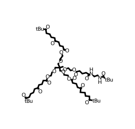 CC(C)(C)C(=O)CCCCC(=O)CCCC(=O)OCCOCC(COCCOC(=O)CCCC(=O)CCCCC(=O)C(C)(C)C)(COCCOC(=O)CCCC(=O)CCCCC(=O)C(C)(C)C)COCCOC(=O)CCCC(=O)NCCNC(=O)C(C)(C)C